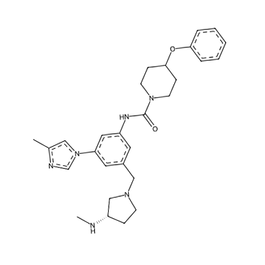 CN[C@H]1CCN(Cc2cc(NC(=O)N3CCC(Oc4ccccc4)CC3)cc(-n3cnc(C)c3)c2)C1